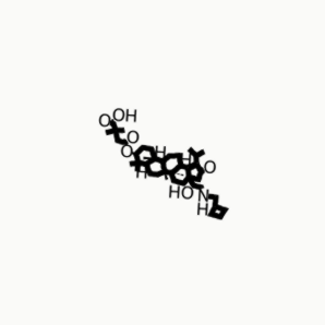 CC(C)C1=C2[C@H]3CC[C@@H]4[C@@]5(C)CC[C@H](OC(=O)CC(C)(C)C(=O)O)C(C)(C)[C@@H]5CC[C@@]4(C)[C@]3(C)CCC2([C@H](O)CNCC2CCC2)CC1=O